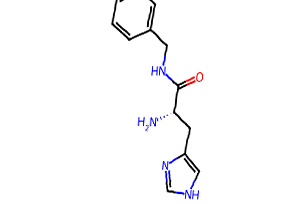 N[C@@H](Cc1c[nH]cn1)C(=O)NCc1ccccc1